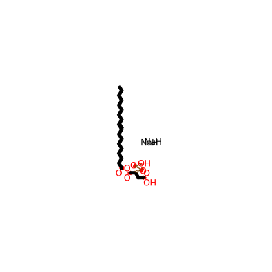 CCCCCCCCC=CCCCCCCCC(=O)OC(=O)C(CC(=O)O)S(=O)(=O)O.[NaH].[NaH]